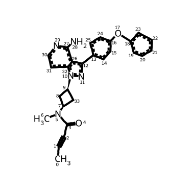 CC#CC(=O)N(C)[C@H]1C[C@@H](n2nc(-c3ccc(Oc4ccccc4)cc3)c3c(N)nccc32)C1